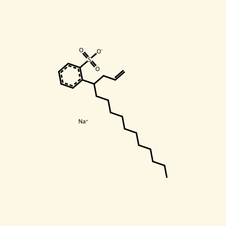 C=CCC(CCCCCCCCCCC)c1ccccc1S(=O)(=O)[O-].[Na+]